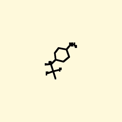 C[C@@H](C1CCC(N)CC1)C(C)(F)F